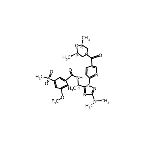 C[C@@H]1CN(C(=O)c2ccc(-n3nc(N(C)C)nc3[C@H](C)NC(=O)c3cc(OC(F)(F)F)cc(S(C)(=O)=O)c3)nc2)C[C@H](C)O1